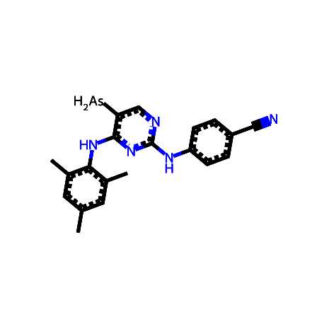 Cc1cc(C)c(Nc2nc(Nc3ccc(C#N)cc3)ncc2[AsH2])c(C)c1